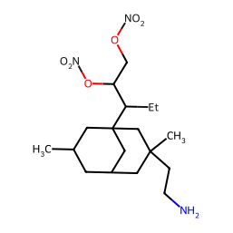 CCC(C(CO[N+](=O)[O-])O[N+](=O)[O-])C12CC(C)CC(CC(C)(CCN)C1)C2